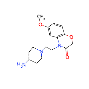 NC1CCN(CCN2C(=O)COc3ccc(OC(F)(F)F)cc32)CC1